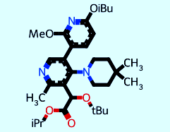 COc1nc(OCC(C)C)ccc1-c1cnc(C)c(C(OC(C)(C)C)C(=O)OC(C)C)c1N1CCC(C)(C)CC1